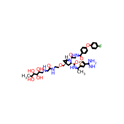 CC(NC(=O)[C@@H]1C[C@]2(COCCNC(=O)CNCC(O)C(O)C(O)C(C)O)C[C@@H]2N1C(=O)CNC(=O)c1ccc(Oc2ccc(F)cc2)cc1)c1cc(C(=N)N)cs1